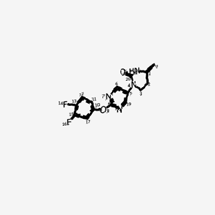 C=C1CCN(c2cnc(Oc3ccc(F)c(F)c3)nc2)C(=O)N1